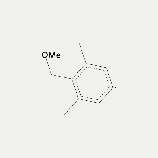 COCc1c(C)c[c]cc1C